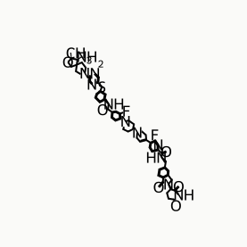 C[C@@H]1OCC2(CCN(c3cnc(Sc4cccc(NC(=O)c5ccc(N6CCC(N7CC=C(c8ccc(C(=O)NCc9ccc%10c(c9)CN(C9CCC(=O)NC9=O)C%10=O)nc8F)CC7)CC6)c(F)c5)c4)cn3)CC2)[C@@H]1N